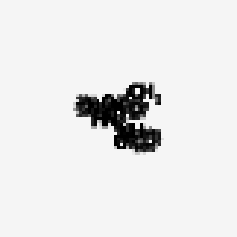 CC[C@H](CN1CC[C@@H](CNC(=O)c2ccc3ccccc3c2)N[C@@H](CCN2CCCCC2)C1=O)c1ccccc1